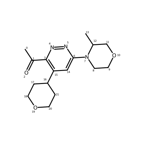 CC(=O)c1nnc(N2CCOCC2C)cc1C1CCOCC1